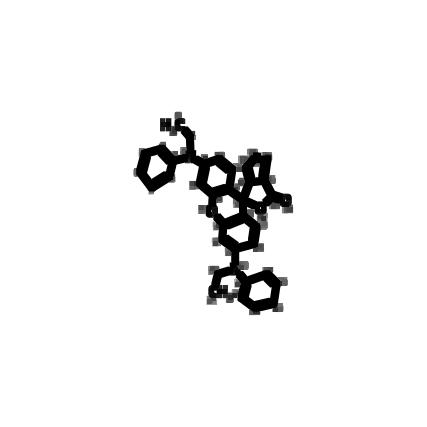 CCN(c1ccccc1)c1ccc2c(c1)Oc1cc(N(CC)c3ccccc3)ccc1C21OC(=O)c2ccccc21